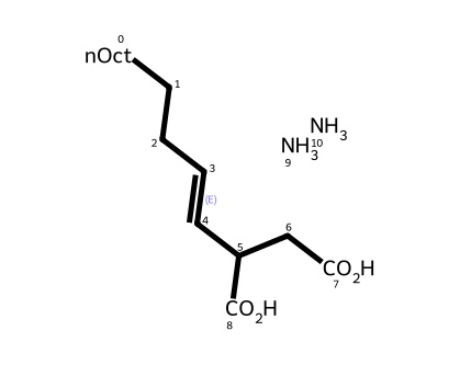 CCCCCCCCCC/C=C/C(CC(=O)O)C(=O)O.N.N